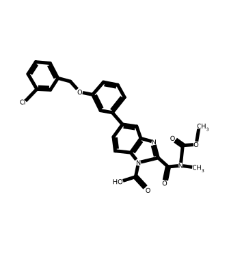 COC(=O)N(C)C(=O)c1nc2cc(-c3cccc(OCc4cccc(Cl)c4)c3)ccc2n1C(=O)O